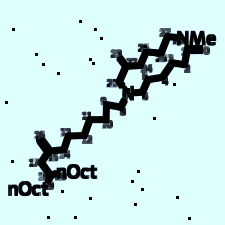 C=CCCCCCN(CCCCCCCC(=C)CC(CCCCCCCC)CCCCCCCC)CC(C)CCCCNC